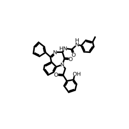 Cc1cccc(NC(=O)NC2N=C(c3ccccc3)c3ccccc3N(CC(=O)c3ccccc3O)C2=O)c1